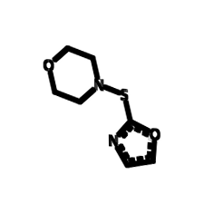 c1coc(SN2CCOCC2)n1